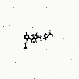 CCC(=O)N1C[C@@H](NC(=O)c2c(C)[nH]c3c(-c4cc(C)ccc4OCC4CC4)ncnc23)C(C)(C)C1